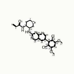 C=CC(=O)N[C@H]1CCOC[C@H]1Nc1ncc2cc(-c3c(Cl)c(OC)cc(OC)c3Cl)cnc2n1